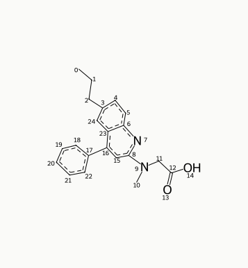 CCCc1ccc2nc(N(C)CC(=O)O)cc(-c3ccccc3)c2c1